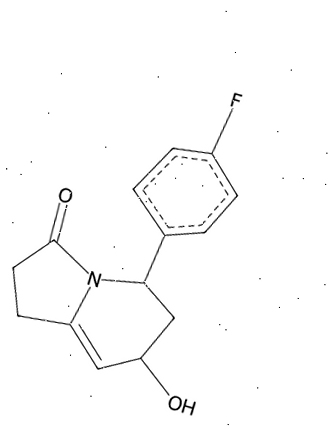 O=C1CCC2=CC(O)CC(c3ccc(F)cc3)N12